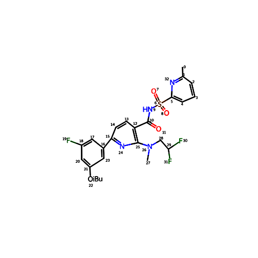 Cc1cccc(S(=O)(=O)NC(=O)c2ccc(-c3cc(F)cc(OCC(C)C)c3)nc2N(C)CC(F)F)n1